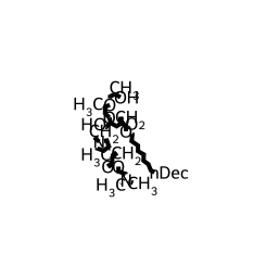 C=C(C)C(=O)OCCN(C)C.C=C(CC(CO)OCC(C)OCC(C)O)C(=O)OCCCCCCCCCCCCCCCCCC.C=CN1CCCC1